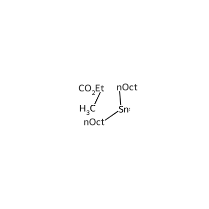 CCCCCCC[CH2][Sn][CH2]CCCCCCC.CCOC(C)=O